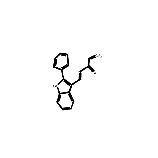 C=CC(=O)N=Cc1c(-c2ccccc2)[nH]c2ccccc12